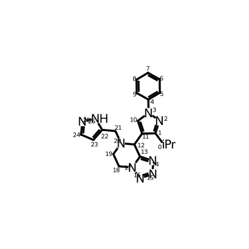 CC(C)c1nn(-c2ccccc2)cc1C1c2nnnn2CCN1Cc1ccn[nH]1